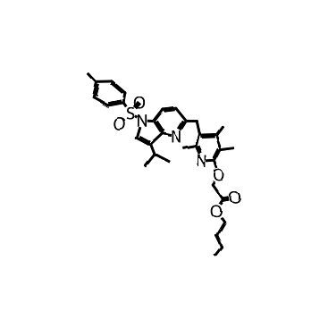 CCCCOC(=O)COc1nc(C)c(Cc2ccc3c(n2)c(C(C)C)cn3S(=O)(=O)c2ccc(C)cc2)c(C)c1C